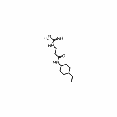 CCC1CCC(NC(=O)CCNC(=N)N)CC1